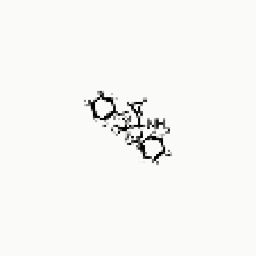 CC(N)(C1CC1)P(=O)(Oc1ccccc1)Oc1ccccc1